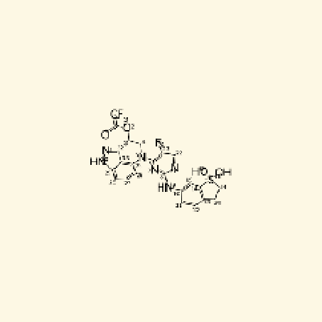 O=C(OCCN(c1nc(Nc2ccc3c(c2)S(O)(O)CC3)ncc1F)c1cccc2[nH]ncc12)C(F)(F)F